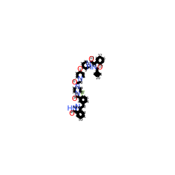 O=C(CN1CCC(OC2CCN(C(=O)[C@H](NC(=O)C34CC(C3)C4)C3CCCCC3)CC2)CC1)N1CCN(C(=O)c2cc(Cc3n[nH]c(=O)c4ccccc34)ccc2F)CC1